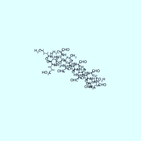 C=CCCC(=O)N[C@H](C(=O)NC(N[C@@H](C)C=O)C(=O)N(CC=C)[C@@H](N[C@@H](C)C=O)C(=O)N[C@@H](N[C@@H](C)C=O)C(=O)N[C@@H](N[C@@H](C)C=O)C(=O)N[C@@H](N[C@@H](C=O)CCC(=O)O)C(=O)N[C@@H](N[C@@H](C)C=O)C(=O)OC)C(=O)[C@@H](N)CCC(=O)O